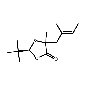 C/C=C(\C)C[C@@]1(C)S[C@H](C(C)(C)C)OC1=O